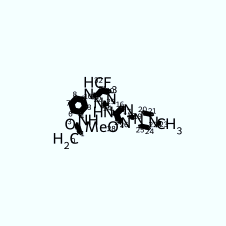 C=CC(=O)Nc1cccc(Nc2nc(Nc3cnc(N4CCN(C)CC4)nc3OC)ncc2C(F)(F)F)c1